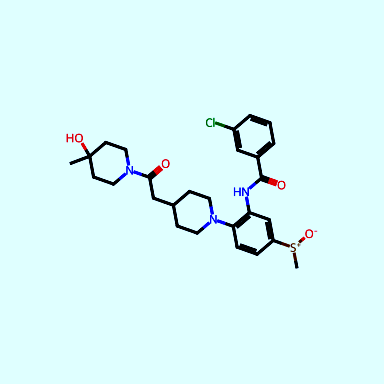 C[S+]([O-])c1ccc(N2CCC(CC(=O)N3CCC(C)(O)CC3)CC2)c(NC(=O)c2cccc(Cl)c2)c1